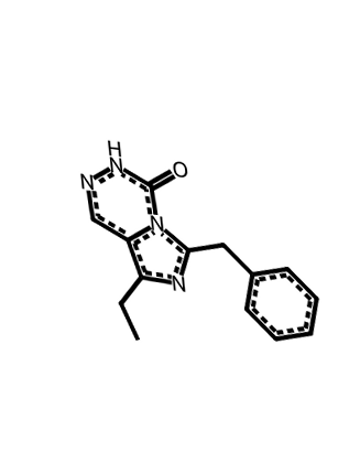 CCc1nc(Cc2ccccc2)n2c(=O)[nH]ncc12